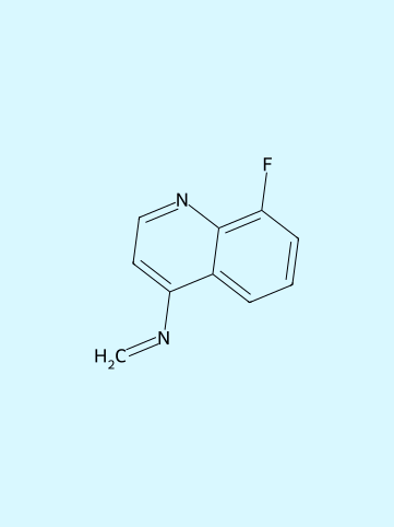 C=Nc1ccnc2c(F)cccc12